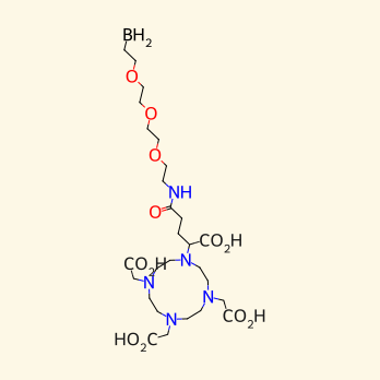 BCCOCCOCCOCCNC(=O)CCC(C(=O)O)N1CCN(CC(=O)O)CCN(CC(=O)O)CCN(CC(=O)O)CC1